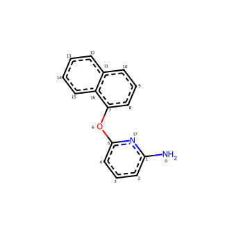 Nc1cccc(Oc2cccc3ccccc23)n1